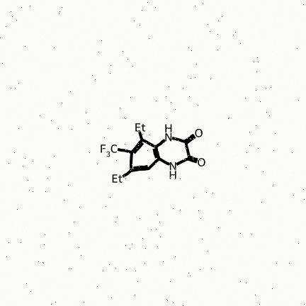 CCc1cc2[nH]c(=O)c(=O)[nH]c2c(CC)c1C(F)(F)F